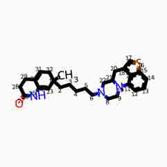 CC1(CCCCCN2CCN3c4cccc5scc(c45)CC3C2)C=C2NC(=O)CCC2=CC1